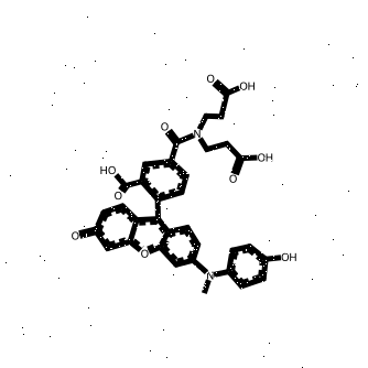 CN(c1ccc(O)cc1)c1ccc2c(-c3ccc(C(=O)N(CCC(=O)O)CCC(=O)O)cc3C(=O)O)c3ccc(=O)cc-3oc2c1